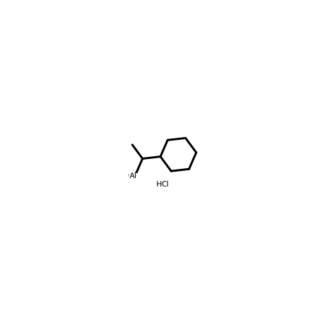 C[CH]([Al])C1CCCCC1.Cl